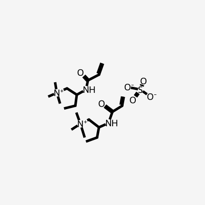 C=CC(=O)NC(CC)C[N+](C)(C)C.C=CC(=O)NC(CC)C[N+](C)(C)C.O=S(=O)([O-])[O-]